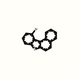 Brc1cccc2sc3ccc4ccccc4c3c12